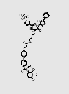 CS(=O)(=O)N1CCC(C(=O)N[C@@H](CCCCNC(=O)CCN2CCN(c3ccc4c(c3)C(=O)N(C3CCC(=O)NC3=O)C4=O)CC2)C(=O)NC2NC(c3ccccc3)CS2)C1